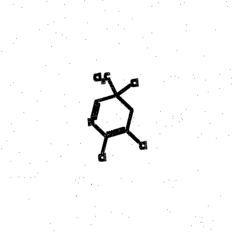 ClC1=C(Cl)N=CC(Cl)(C(Cl)(Cl)Cl)C1